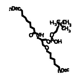 CCCCCCCCCCCCCCCCCC(=O)NCC(COCCCCCCCCCCCCCCCC)COP(O)OCC[N+](C)(C)C